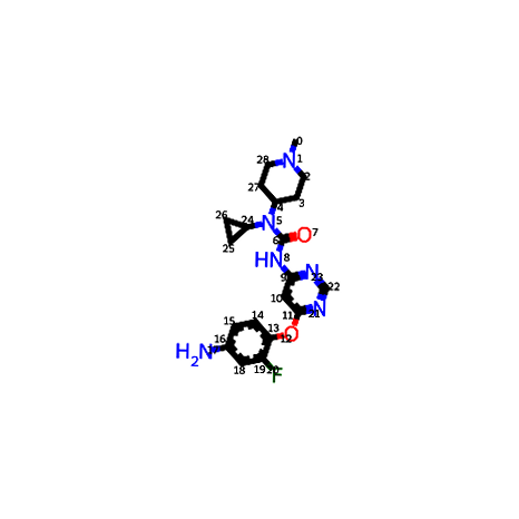 CN1CCC(N(C(=O)Nc2cc(Oc3ccc(N)cc3F)ncn2)C2CC2)CC1